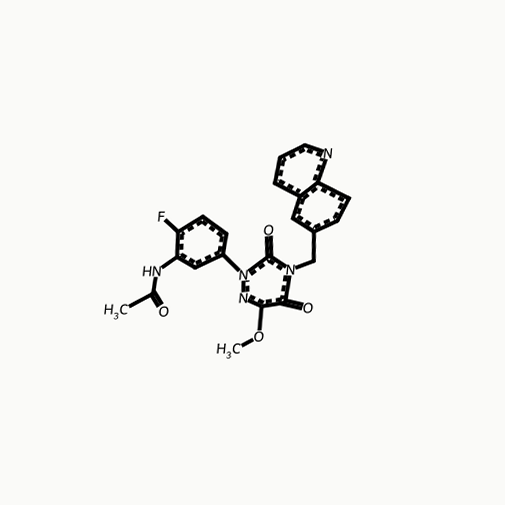 COc1nn(-c2ccc(F)c(NC(C)=O)c2)c(=O)n(Cc2ccc3ncccc3c2)c1=O